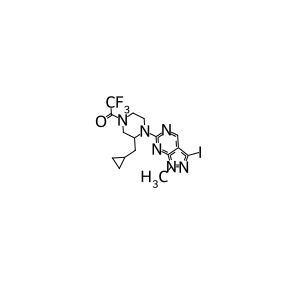 Cn1nc(I)c2cnc(N3CCN(C(=O)C(F)(F)F)CC3CC3CC3)nc21